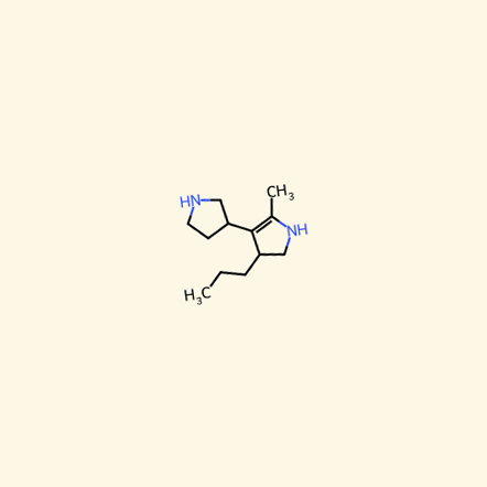 CCCC1CNC(C)=C1C1CCNC1